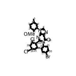 COc1ccc(C)cc1-n1cnc2c(=O)n(-c3ccc(Br)cc3)c(-c3ccc(Cl)cc3Cl)nc21